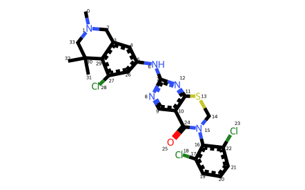 CN1Cc2cc(Nc3ncc4c(n3)SCN(c3c(Cl)cccc3Cl)C4=O)cc(Cl)c2C(C)(C)C1